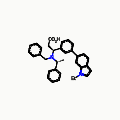 CCn1ccc2ccc(-c3cccc([C@H](CC(=O)O)N(Cc4ccccc4)[C@H](C)c4ccccc4)c3)cc21